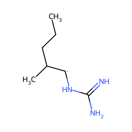 CCCC(C)[CH]NC(=N)N